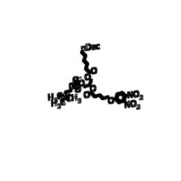 CCCCCCCCCCCCCCCC(=O)OCC(COP(=O)([O-])OCC[N+](C)(C)C)OC(=O)CCCCOc1ccc([N+](=O)[O-])c([N+](=O)[O-])c1